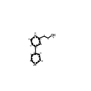 OCCc1cc(-c2ccncc2)ccn1